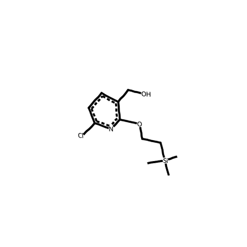 C[Si](C)(C)CCOc1nc(Cl)ccc1CO